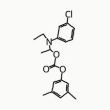 CCN(c1cccc(Cl)c1)C(C)OC(=O)Oc1cc(C)cc(C)c1